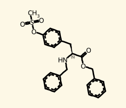 CS(=O)(=O)Oc1ccc(C[C@H](NCc2ccccc2)C(=O)OCc2ccccc2)cc1